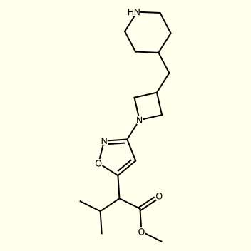 COC(=O)C(c1cc(N2CC(CC3CCNCC3)C2)no1)C(C)C